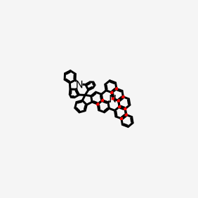 c1ccc(-c2cccc(N(c3ccccc3-c3ccc4c(c3)C3(c5ccccc5-4)c4ccccc4-n4c5ccccc5c5cccc3c54)c3ccccc3-c3ccccc3-c3ccccc3)c2)cc1